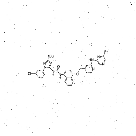 CCc1cncc(Nc2cc(COc3ccc(NC(=O)Nc4cc(C(C)(C)C)nn4-c4cccc(Cl)c4)c4ccccc34)ccn2)n1